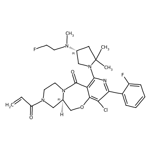 C=CC(=O)N1CCN2C(=O)c3c(N4C[C@H](N(C)CCF)CC4(C)C)nc(-c4ccccc4F)c(Cl)c3OC[C@H]2C1